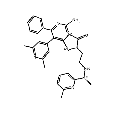 Cc1cc(-c2c(-c3ccccc3)nc(N)[n+]3c(=O)n(CCN[C@@H](C)c4cccc(C)n4)[nH]c23)cc(C)n1